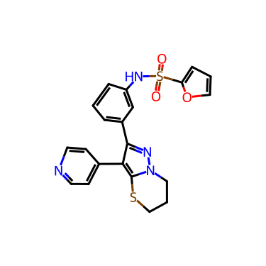 O=S(=O)(Nc1cccc(-c2nn3c(c2-c2ccncc2)SCCC3)c1)c1ccco1